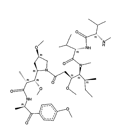 CC[C@H](C)[C@@H]([C@H](CC(=O)N1C[C@H](OC)C[C@@H]1[C@H](OC)[C@@H](C)C(=O)N[C@H](C)C(=O)c1ccc(OC)cc1)OC)N(C)C(=O)[C@@H](NC(=O)[C@@H](NC)C(C)C)C(C)C